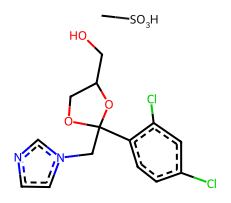 CS(=O)(=O)O.OCC1COC(Cn2ccnc2)(c2ccc(Cl)cc2Cl)O1